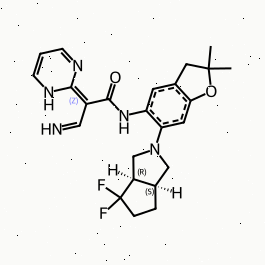 CC1(C)Cc2cc(NC(=O)/C(C=N)=C3\N=CC=CN3)c(N3C[C@H]4CCC(F)(F)[C@H]4C3)cc2O1